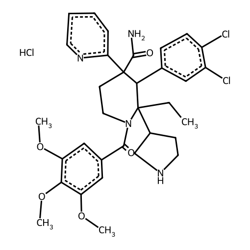 CCC1(C2CCNC2)C(c2ccc(Cl)c(Cl)c2)C(C(N)=O)(c2ccccn2)CCN1C(=O)c1cc(OC)c(OC)c(OC)c1.Cl